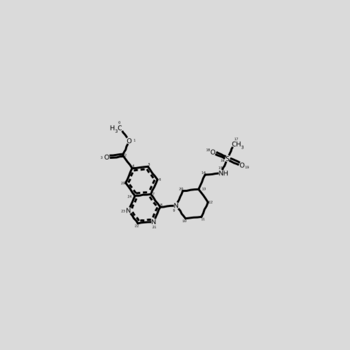 COC(=O)c1ccc2c(N3CCCC(CNS(C)(=O)=O)C3)ncnc2c1